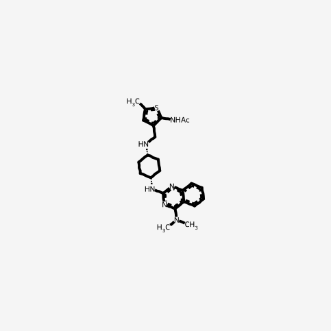 CC(=O)Nc1sc(C)cc1CN[C@H]1CC[C@@H](Nc2nc(N(C)C)c3ccccc3n2)CC1